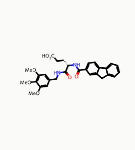 COc1cc(CNC(=O)[C@H](CCC(=O)O)NC(=O)c2ccc3c(c2)Cc2ccccc2-3)cc(OC)c1OC